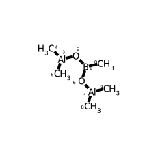 CB([O][Al]([CH3])[CH3])[O][Al]([CH3])[CH3]